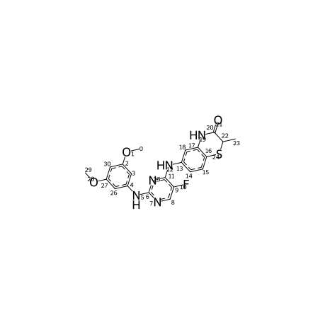 COc1cc(Nc2ncc(F)c(Nc3ccc4c(c3)NC(=O)C(C)S4)n2)cc(OC)c1